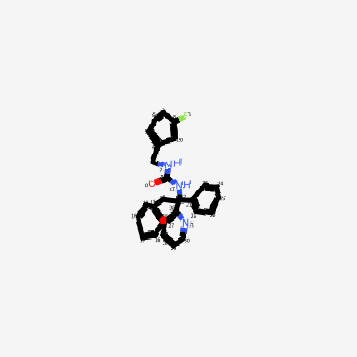 O=C(NCc1cccc(F)c1)NC(Cc1ccccc1)(c1ccccc1)c1ccccn1